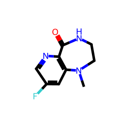 CN1CCNC(=O)c2ncc(F)cc21